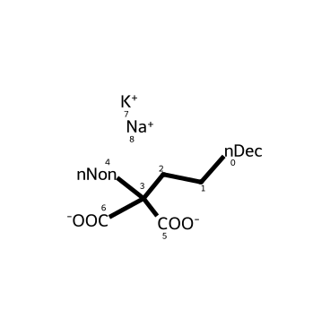 CCCCCCCCCCCCC(CCCCCCCCC)(C(=O)[O-])C(=O)[O-].[K+].[Na+]